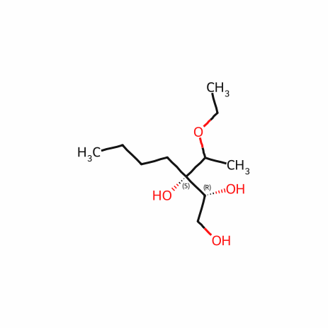 CCCC[C@@](O)(C(C)OCC)[C@H](O)CO